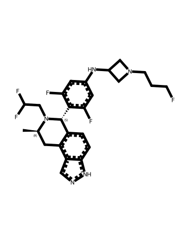 C[C@@H]1Cc2c(ccc3[nH]ncc23)[C@@H](c2c(F)cc(NC3CN(CCCF)C3)cc2F)N1CC(F)F